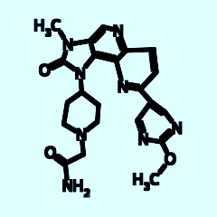 COc1ncc(-c2ccc3ncc4c(c3n2)n(C2CCN(CC(N)=O)CC2)c(=O)n4C)cn1